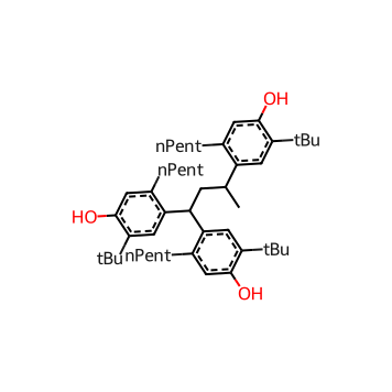 CCCCCc1cc(O)c(C(C)(C)C)cc1C(C)CC(c1cc(C(C)(C)C)c(O)cc1CCCCC)c1cc(C(C)(C)C)c(O)cc1CCCCC